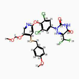 COCOc1cnc(Oc2c(Cl)cc(-n3nc(C(F)F)c(=O)[nH]c3=O)cc2Cl)cc1SCc1ccc(OC)cc1